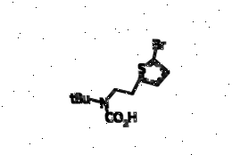 CC(C)(C)N(CCc1ccc(Br)s1)C(=O)O